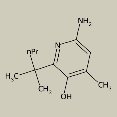 CCCC(C)(C)c1nc(N)cc(C)c1O